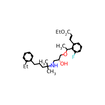 CCOC(=O)/C=C/c1cccc(F)c1C(C)OC[C@H](O)CNC(C)(C)CCCc1ccccc1CC